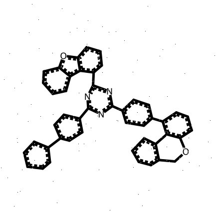 c1ccc(-c2ccc(-c3nc(-c4ccc(-c5cccc6c5-c5ccccc5CO6)cc4)nc(-c4cccc5oc6ccccc6c45)n3)cc2)cc1